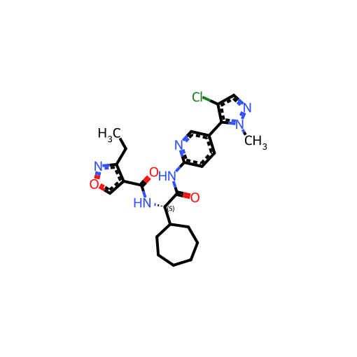 CCc1nocc1C(=O)N[C@H](C(=O)Nc1ccc(-c2c(Cl)cnn2C)cn1)C1CCCCCC1